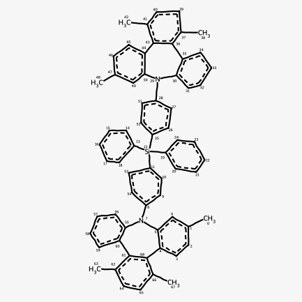 Cc1ccc2c(c1)N(c1ccc([Si](c3ccccc3)(c3ccccc3)c3ccc(N4c5ccccc5-c5c(C)ccc(C)c5-c5ccc(C)cc54)cc3)cc1)c1ccccc1-c1c(C)ccc(C)c1-2